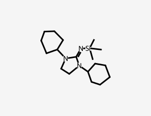 C[Si](C)(C)N=C1N(C2CCCCC2)CCN1C1CCCCC1